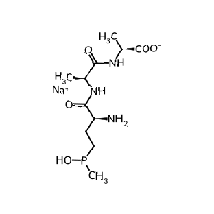 C[C@H](NC(=O)[C@H](C)NC(=O)[C@@H](N)CCP(C)O)C(=O)[O-].[Na+]